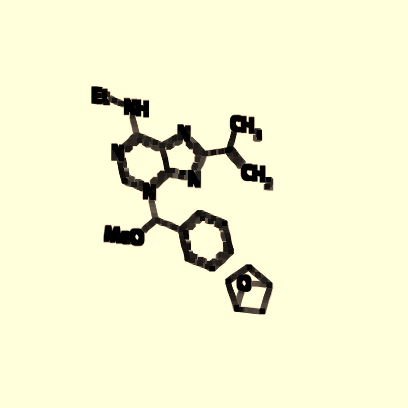 C1CC2CC1O2.C=C(C)c1nc2c(NCC)ncn(C(OC)c3ccccc3)c-2n1